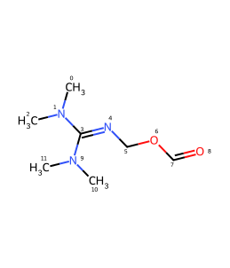 CN(C)C(=NCOC=O)N(C)C